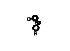 Cl.Clc1cccc(OC2CCNCC2)c1